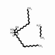 CCCCCCCC.CCCCCCCC/C=C\CCCCCCCC(=O)C(O)(C(=O)CCCCCCC/C=C\CCCCCCCC)C(O)CO